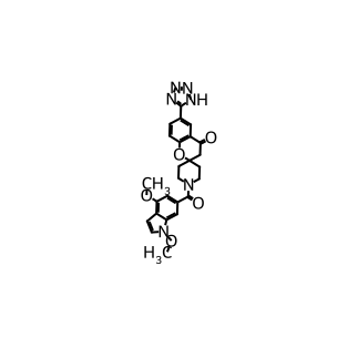 COc1cc(C(=O)N2CCC3(CC2)CC(=O)c2cc(-c4nnn[nH]4)ccc2O3)cc2c1ccn2OC